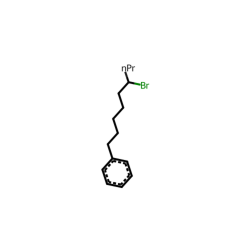 CCCC(Br)CCCCCc1ccccc1